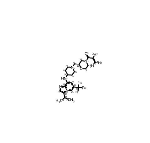 [2H]C([2H])=C([2H])C(=O)N1CCO[C@@H](CN2CCC(Nc3cc(C(F)(F)F)cn4c(C(C)C)cnc34)CC2)C1